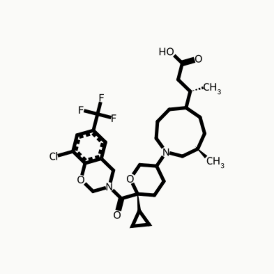 C[C@@H]1CCC([C@@H](C)CC(=O)O)CCCN(C2CC[C@@](C(=O)N3COc4c(Cl)cc(C(F)(F)F)cc4C3)(C3CC3)OC2)C1